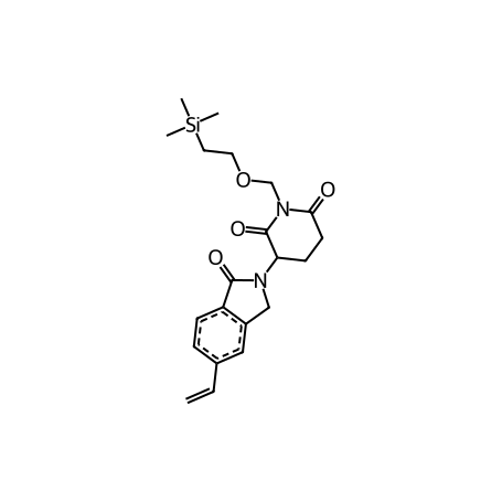 C=Cc1ccc2c(c1)CN(C1CCC(=O)N(COCC[Si](C)(C)C)C1=O)C2=O